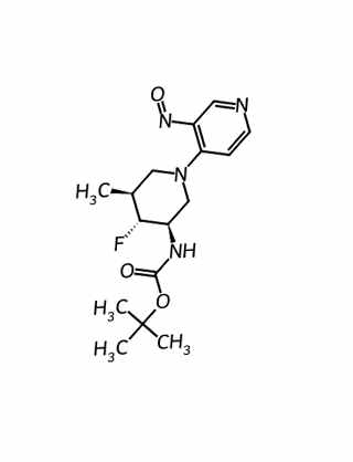 C[C@H]1CN(c2ccncc2N=O)C[C@@H](NC(=O)OC(C)(C)C)[C@@H]1F